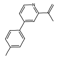 C=C(C)c1cc(-c2ccc(C)cc2)ccn1